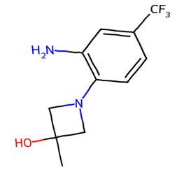 CC1(O)CN(c2ccc(C(F)(F)F)cc2N)C1